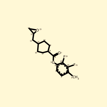 Cc1ccc(OC(=O)C2CCC(CC3CO3)CC2)c(F)c1F